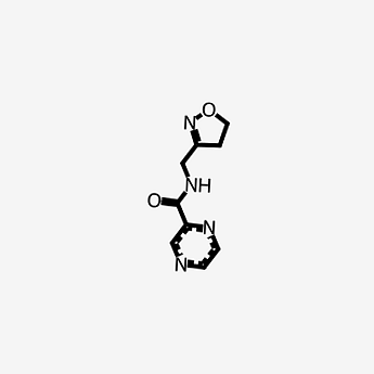 O=C(NCC1=NOCC1)c1cnccn1